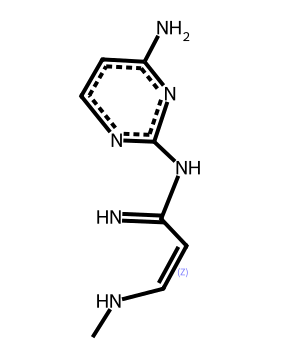 CN/C=C\C(=N)Nc1nccc(N)n1